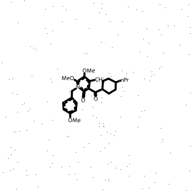 CCCC1CCC(C(=O)c2c(C)c(OC)c(OC)n(Cc3ccc(OC)cc3)c2=O)CC1